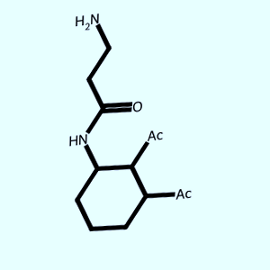 CC(=O)C1CCCC(NC(=O)CCN)C1C(C)=O